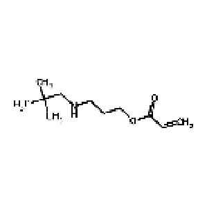 C=CC(=O)OCCCNCC(C)(C)C